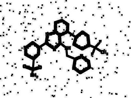 CC(F)(F)c1ccc(-c2cccc3nc(-c4cncc(S(N)(=O)=O)c4)nc(NCc4ccccn4)c23)cc1